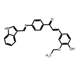 CCOc1cc(/C=C/C(=O)c2ccc(N=Cc3c[nH]c4ccccc34)cc2)ccc1O